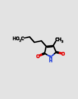 CC1=C(CCCC(=O)O)C(=O)NC1=O